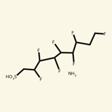 N.O=S(=O)(O)CC(F)C(F)C(F)C(F)C(F)C(F)CCF